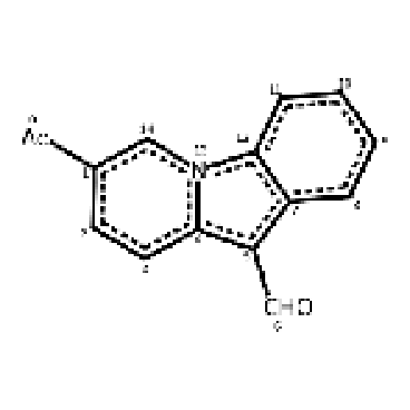 CC(=O)c1ccc2c(C=O)c3ccccc3n2c1